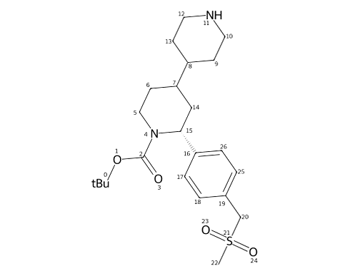 CC(C)(C)OC(=O)N1CCC(C2CCNCC2)C[C@@H]1c1ccc(CS(C)(=O)=O)cc1